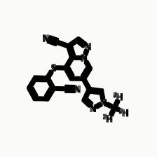 [2H]C([2H])([2H])n1cc(-c2cc(Sc3ccccc3C#N)c3c(C#N)cnn3c2)cn1